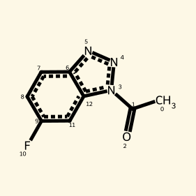 CC(=O)n1nnc2ccc(F)cc21